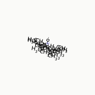 C[C@@H]1CC[C@]2(C(=O)Oc3cc(/C=C/c4cc[c]cc4)cc(OC(=O)[C@]45CC[C@@H](C)[C@H](C)C4C4=CCC6[C@@]7(C)CC[C@H](O)C(C)(C)C7CC[C@@]6(C)[C@]4(C)CC5)c3)CC[C@]3(C)C(=CCC4[C@@]5(C)CC[C@H](O)C(C)(C)C5CC[C@]43C)C2[C@H]1C